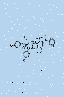 CCC[C@H](NC(=O)[C@@H]1CCCCN1C(=O)[C@@H](NC(=O)c1cnccn1)C(C)(C)C)P(=O)(Oc1ccc(SC)cc1)Oc1ccc(SC)cc1